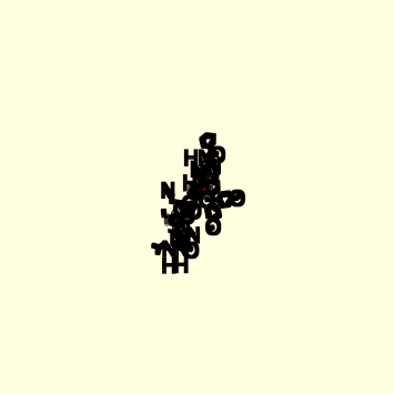 CC[C@H]1S[C@@H](n2cnc3c(=O)[nH]c(NCC(C)C)nc32)[C@H](OP(=O)(OCCC#N)OC[C@]23C[C@@H]2[C@@H](n2cnc4c(NC(=O)c5ccccc5)ncnc42)[C@H](C)[C@@H]3OC(c2ccccc2)(c2ccc(OC)cc2)c2ccc(OC)cc2)[C@@H]1C